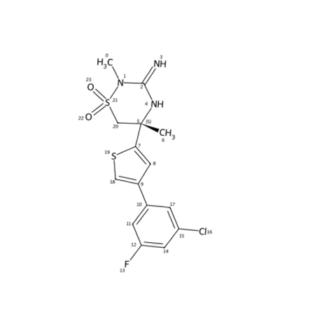 CN1C(=N)N[C@](C)(c2cc(-c3cc(F)cc(Cl)c3)cs2)CS1(=O)=O